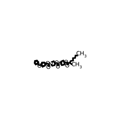 CCCCCCCC(CC)C(=O)OC1CCN(C(=O)OC2CCN(C(=O)Oc3ccc(Oc4ccccc4)cc3)CC2)CC1